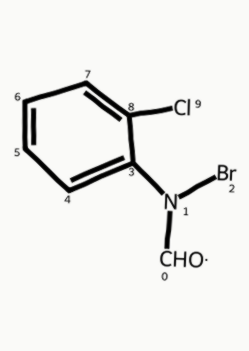 O=[C]N(Br)c1ccccc1Cl